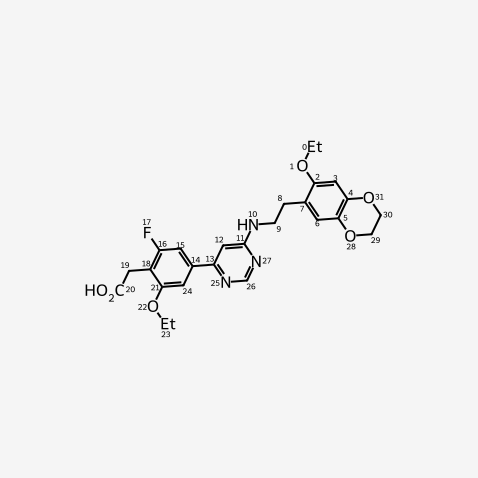 CCOc1cc2c(cc1CCNc1cc(-c3cc(F)c(CC(=O)O)c(OCC)c3)ncn1)OCCO2